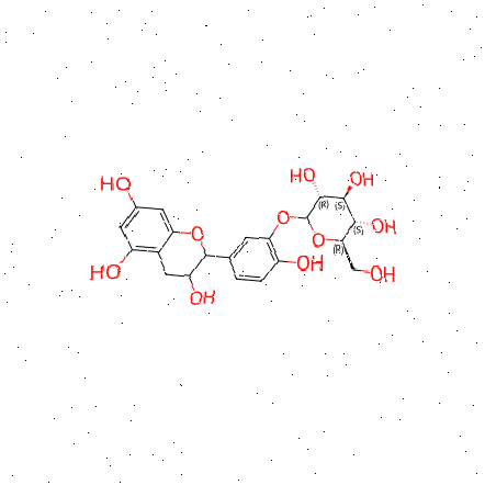 OC[C@H]1OC(Oc2cc(C3Oc4cc(O)cc(O)c4CC3O)ccc2O)[C@H](O)[C@@H](O)[C@@H]1O